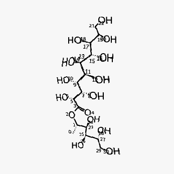 C[C@H](OC(=O)[C@H](O)[C@@H](O)[C@H](O)[C@H](O)[C@@H](O)[C@@H](O)[C@@H](O)[C@H](O)CO)[C@@H](O)[C@H](O)[C@H](O)CO